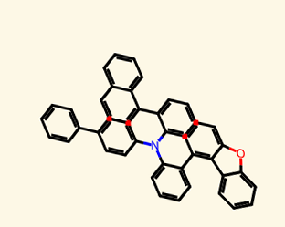 c1ccc(-c2ccc(N(c3ccccc3-c3cccc4ccccc34)c3ccccc3-c3cccc4oc5ccccc5c34)cc2)cc1